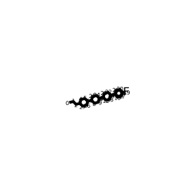 CCCC1CCC(C2CCC(C3CC=C(c4ccc(F)cc4)CC3)CC2)CC1